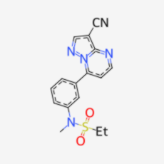 CCS(=O)(=O)N(C)c1cccc(-c2ccnc3c(C#N)cnn23)c1